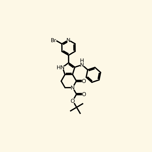 CC(C)(C)OC(=O)N1CCc2[nH]c(-c3ccnc(Br)c3)c(Nc3ccccc3)c2C1=O